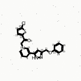 O=C(CN1C=CCC(c2cc(COc3ccccc3)n[nH]2)=C1)c1ccc(Cl)s1